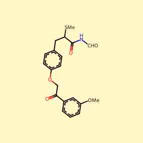 COc1cccc(C(=O)COc2ccc(CC(SC)C(=O)NC=O)cc2)c1